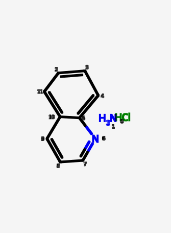 Cl.N.c1ccc2ncccc2c1